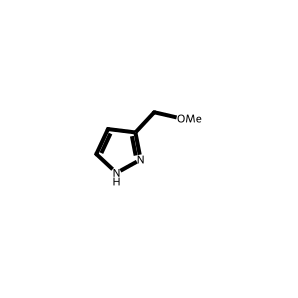 COCc1cc[nH]n1